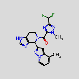 Cc1cccn2nc([C@H]3c4nc[nH]c4CCN3C(=O)c3nc(C(F)F)nn3C)cc12